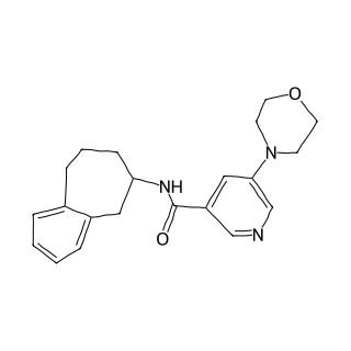 O=C(NC1CCCc2ccccc2C1)c1cncc(N2CCOCC2)c1